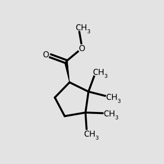 COC(=O)[C@@H]1CCC(C)(C)C1(C)C